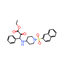 CCOC(=O)C(=O)C(NC1CCN(S(=O)(=O)c2ccc3ccccc3c2)CC1)c1ccccc1